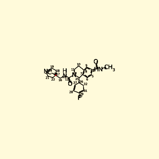 CNC(=O)c1ccc2c(c1)CCN(C(=O)NCC13CCN(CC1)CC3)[C@@H]2C1C=CC(F)=CC1